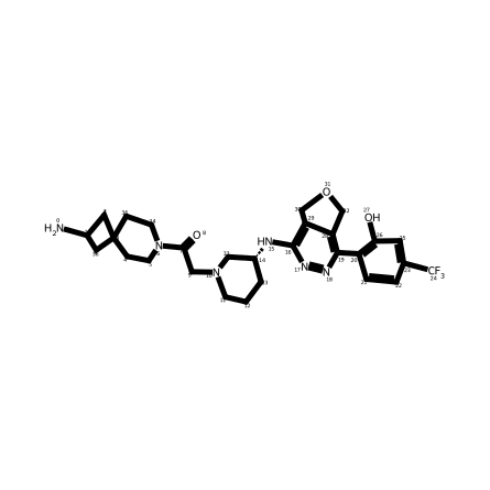 NC1CC2(CCN(C(=O)CN3CCC[C@@H](Nc4nnc(-c5ccc(C(F)(F)F)cc5O)c5c4COC5)C3)CC2)C1